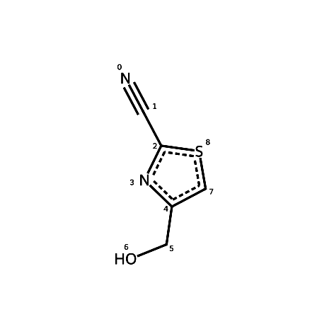 N#Cc1nc(CO)cs1